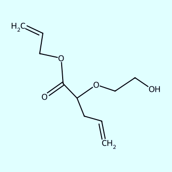 C=CCOC(=O)C(CC=C)OCCO